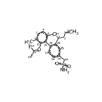 C=CCC1Oc2ccc(C)c(OC(F)F)c2-c2ccc(CS(N)(=O)=O)cc21